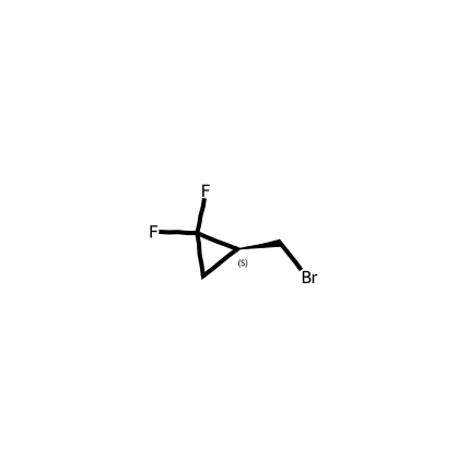 FC1(F)C[C@@H]1CBr